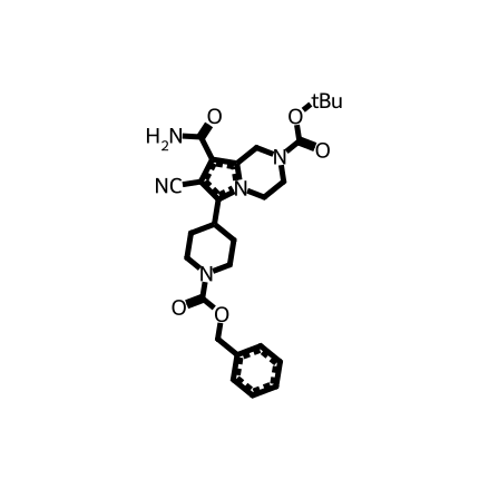 CC(C)(C)OC(=O)N1CCn2c(c(C(N)=O)c(C#N)c2C2CCN(C(=O)OCc3ccccc3)CC2)C1